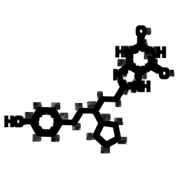 O=c1[nH]c(=O)c2[nH]c(CCC(CCc3ccc(O)cc3)C3CCCC3)nc2[nH]1